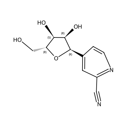 N#Cc1cc([C@H]2O[C@H](CO)[C@@H](O)[C@H]2O)ccn1